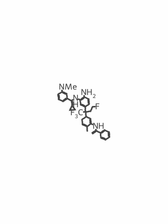 C=C(NC1=CC(C(CCF)(c2ccc(N)c(NC(=C3CC3)c3cccc(NC)c3)c2)C(F)(F)F)CC=C1C)c1ccccc1